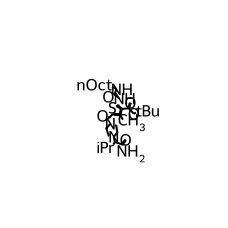 CCCCCCCCNC(=O)Nc1sc(C(=O)N2CCN(C(C(N)=O)C(C)C)CC2)c(C)c1C(=O)OC(C)(C)C